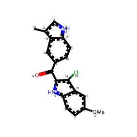 COc1ccc2[nH]c(C(=O)c3ccc4[nH]cc(C)c4c3)c(Cl)c2c1